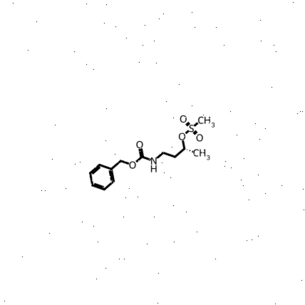 C[C@H](CCNC(=O)OCc1ccccc1)OS(C)(=O)=O